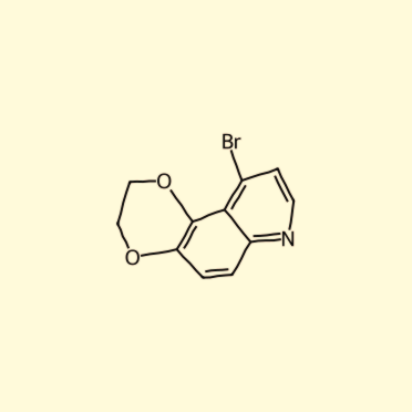 Brc1ccnc2ccc3c(c12)OCCO3